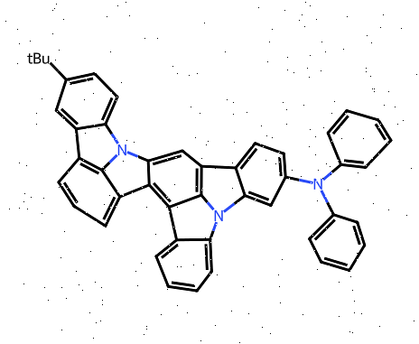 CC(C)(C)c1ccc2c(c1)c1cccc3c4c5c6ccccc6n6c7cc(N(c8ccccc8)c8ccccc8)ccc7c(cc4n2c13)c56